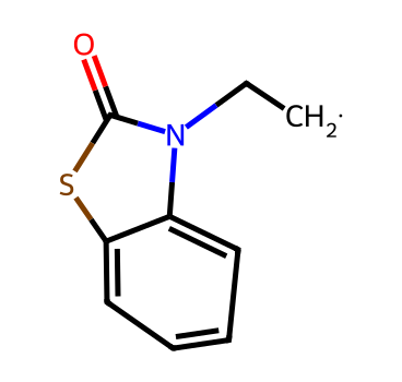 [CH2]Cn1c(=O)sc2ccccc21